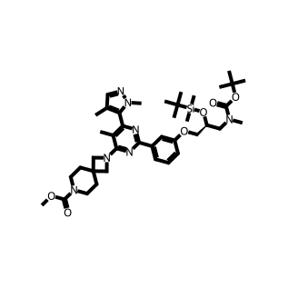 COC(=O)N1CCC2(CC1)CN(c1nc(-c3cccc(OC[C@H](CN(C)C(=O)OC(C)(C)C)O[Si](C)(C)C(C)(C)C)c3)nc(-c3c(C)cnn3C)c1C)C2